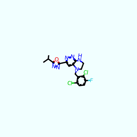 CC(C)c1nnc(-c2cc3c(nn2)NCCN3Cc2c(Cl)ccc(F)c2Cl)o1